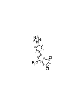 FC(F)(F)C(C=Cc1ccc(-n2cncn2)cc1)c1cc(Cl)cc(Cl)c1